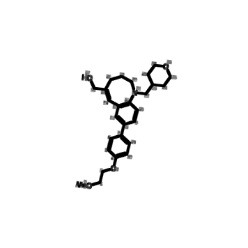 COCCOc1ccc(-c2ccc3c(c2)/C=C(/CO)CCCN3CC2CCOCC2)cc1